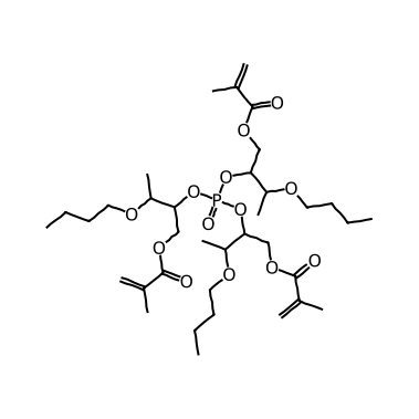 C=C(C)C(=O)OCC(OP(=O)(OC(COC(=O)C(=C)C)C(C)OCCCC)OC(COC(=O)C(=C)C)C(C)OCCCC)C(C)OCCCC